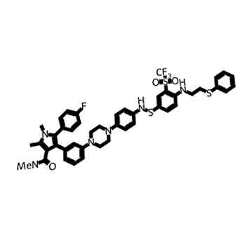 CNC(=O)c1c(-c2cccc(N3CCN(c4ccc(NSc5ccc(NCCSc6ccccc6)c(S(=O)(=O)C(F)(F)F)c5)cc4)CC3)c2)c(-c2ccc(F)cc2)n(C)c1C